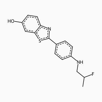 CC(F)CNc1ccc(-c2nc3ccc(O)cc3s2)cc1